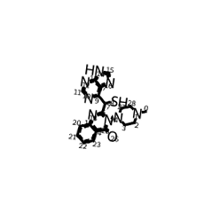 CN1CCN(n2c(C(S)c3ncnc4[nH]cnc34)nc3ccccc3c2=O)CC1